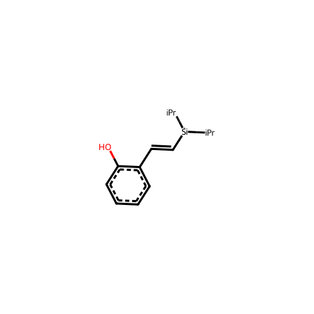 CC(C)[Si](C=Cc1ccccc1O)C(C)C